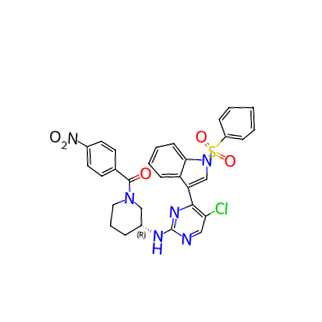 O=C(c1ccc([N+](=O)[O-])cc1)N1CCC[C@@H](Nc2ncc(Cl)c(-c3cn(S(=O)(=O)c4ccccc4)c4ccccc34)n2)C1